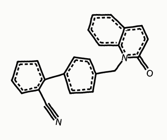 N#Cc1ccccc1-c1ccc(Cn2c(=O)ccc3ccccc32)cc1